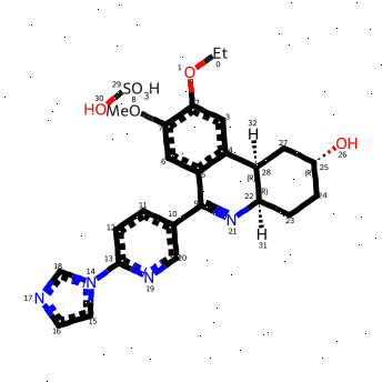 CCOc1cc2c(cc1OC)C(c1ccc(-n3ccnc3)nc1)=N[C@@H]1CC[C@@H](O)C[C@H]21.O=S(=O)(O)O